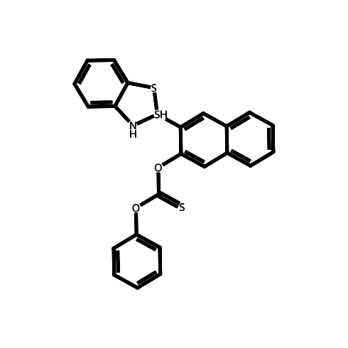 S=C(Oc1ccccc1)Oc1cc2ccccc2cc1[SH]1Nc2ccccc2S1